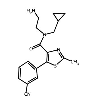 Cc1nc(C(=O)N(CCN)CC2CC2)c(-c2cccc(C#N)c2)s1